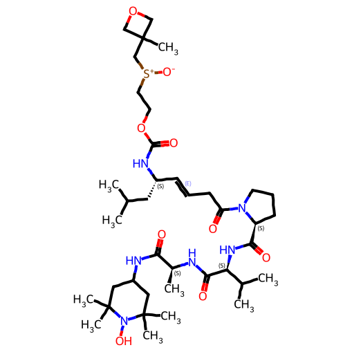 CC(C)C[C@@H](/C=C/CC(=O)N1CCC[C@H]1C(=O)N[C@H](C(=O)N[C@@H](C)C(=O)NC1CC(C)(C)N(O)C(C)(C)C1)C(C)C)NC(=O)OCC[S+]([O-])CC1(C)COC1